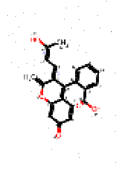 C=c1oc2cc(=O)ccc-2c(-c2ccccc2C(=O)O)/c1=C/C=C(\C)O